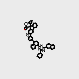 c1ccc(-c2nc(-c3ccc4ccccc4c3)nc(-c3ccc(-c4ccc5oc6cc7c(cc6c5c4)-c4ccccc4C74c5ccccc5Oc5ccccc54)c4ccccc34)n2)cc1